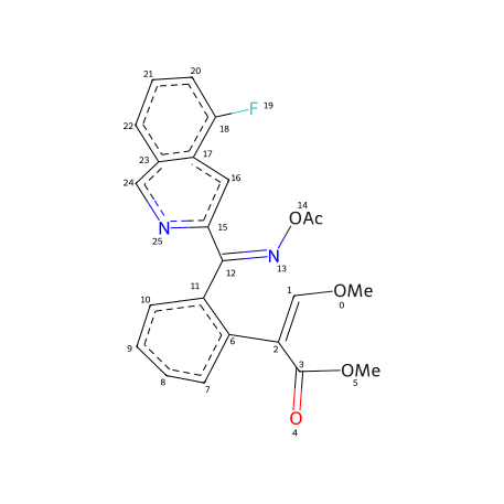 COC=C(C(=O)OC)c1ccccc1C(=NOC(C)=O)c1cc2c(F)cccc2cn1